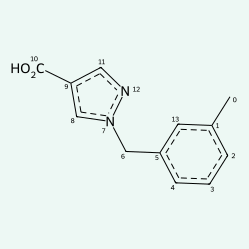 Cc1cccc(Cn2cc(C(=O)O)cn2)c1